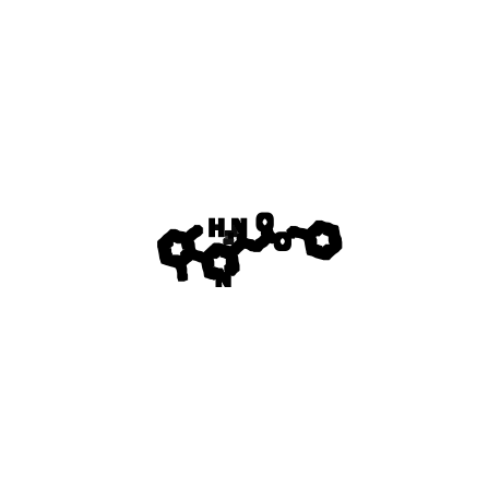 Cc1cccc(C)c1-c1cncc(C(N)CC(=O)OCc2ccccc2)c1